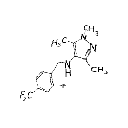 Cc1nn(C)c(C)c1NCc1ccc(C(F)(F)F)cc1F